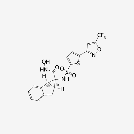 O=C(NO)C1(NS(=O)(=O)c2ccc(-c3cc(C(F)(F)F)on3)s2)[C@@H]2c3ccccc3C[C@@H]21